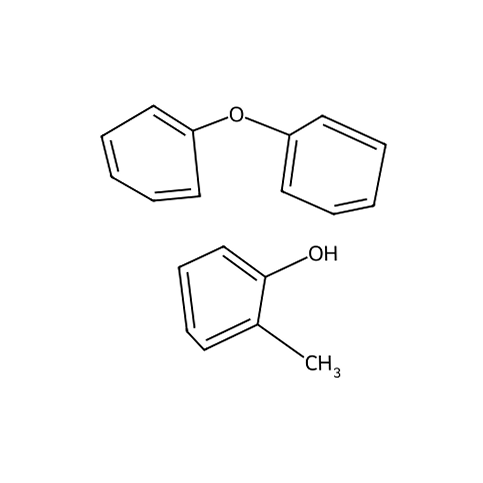 Cc1ccccc1O.c1ccc(Oc2ccccc2)cc1